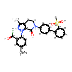 COc1ccc(-n2nc(C(F)(F)F)c3c2C(=O)N(c2ccc(-c4ccccc4S(C)(=O)=O)cc2)CC3)c(C(=O)Cl)c1